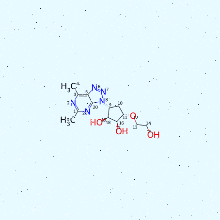 Cc1nc(C)c2nnn([C@@H]3C[C@H](OCCO)[C@@H](O)[C@H]3O)c2n1